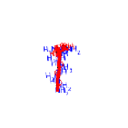 NCCCC(N)CC(=O)NCCCC(N)CC(=O)NCCCC(N)CC(=O)NCCCC(N)CC(=O)N[C@@H]1[C@H](O)[C@@H](OC(N)=O)[C@@H](CO)O[C@H]1NC1=N[C@H](C(=O)O)[C@@H]([C@H](O)CN)N1